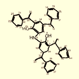 CC(C1=C(O)C(Nc2cc(C(C)c3ccccc3)cc(C(C)c3ccccc3)c2O)=CC(C(C)c2ccccc2)C1)c1ccccc1